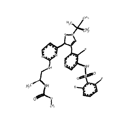 COC(=O)N[C@@H](C)CNc1nccc(C2SN(C(C)(C)C)C=C2c2cncc(NS(=O)(=O)c3c(F)cccc3F)c2F)n1